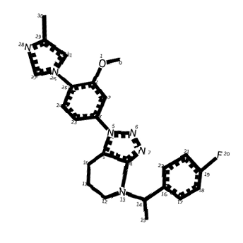 COc1cc(-n2nnc3c2CCCN3C(C)c2ccc(F)cc2)ccc1-n1cnc(C)c1